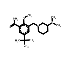 COc1c(CN2CCCC(N(C)C)C2)cc(C(C)(C)C)cc1C(N)=O